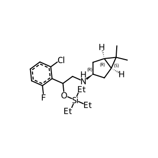 CC[Si](CC)(CC)OC(CN[C@H]1C[C@@H]2[C@H](C1)C2(C)C)c1c(F)cccc1Cl